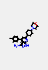 Cc1ccc(-c2cc(C3CCC(N4CCOCC4)CC3)nc3[nH]nc(N)c23)cc1